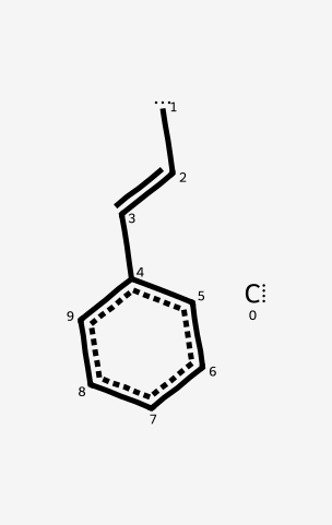 [C].[C]C=Cc1ccccc1